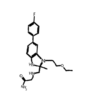 CCOCCN1c2cc(-c3ccc(F)cc3)ccc2NC1(C)CNCC(N)=O